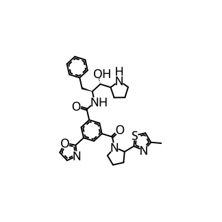 Cc1csc(C2CCCN2C(=O)c2cc(C(=O)N[C@@H](Cc3ccccc3)[C@H](O)C3CCCN3)cc(-c3ncco3)c2)n1